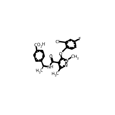 Cc1nn(C)c(Oc2ccc(F)cc2Cl)c1C(=O)N[C@@H](C)c1ccc(C(=O)O)cc1